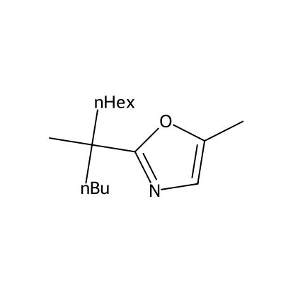 CCCCCCC(C)(CCCC)c1ncc(C)o1